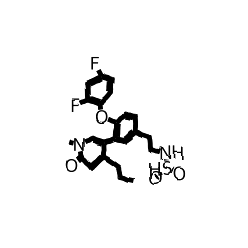 CCCc1cc(=O)n(C)cc1-c1cc(CCN[SH](=O)=O)ccc1Oc1ccc(F)cc1F